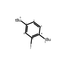 CC(C)(C)c1ccc(C(C)(C)C)c(I)c1